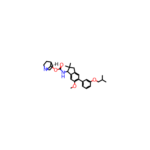 COc1cc2c(cc1-c1cccc(OCC(C)C)c1)CC(C)(C)C2NC(=O)O[C@H]1CN2CCC1CC2